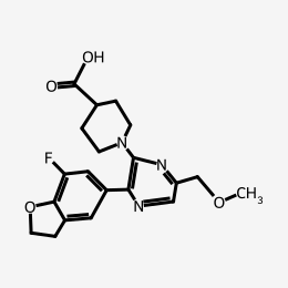 COCc1cnc(-c2cc(F)c3c(c2)CCO3)c(N2CCC(C(=O)O)CC2)n1